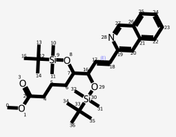 COC(=O)CCCC(O[Si](C)(C)C(C)(C)C)C(/C=C/c1cc2ccccc2cn1)O[Si](C)(C)C(C)(C)C